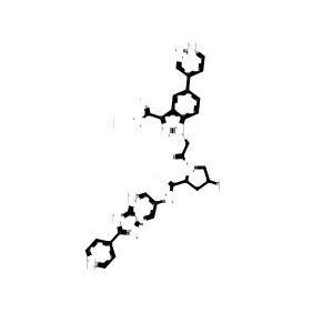 NC(=O)c1nn(CC(=O)N2CC(F)CC2C(=O)Nc2cnc3nc(-c4ccncc4)nn3c2)c2ccc(-c3ccnnc3)cc12